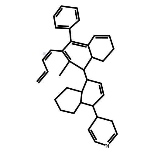 C=C/C=C\C1=C(C)C(C2C=CC(C3C=CN=CC3)C3CCCCC23)C2CCC=CC2=C1c1ccccc1